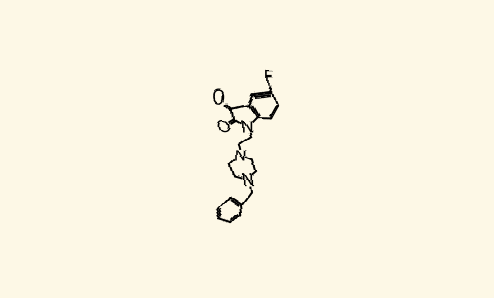 O=C1C(=O)N(CCN2CCN(Cc3ccccc3)CC2)c2ccc(F)cc21